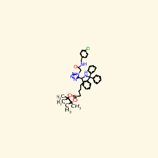 CC1(C)OB(CCCCCC(NC(c2ccccc2)(c2ccccc2)c2ccccc2)c2nnnn2CC(=O)NCc2ccc(Cl)cc2)OC1(C)C